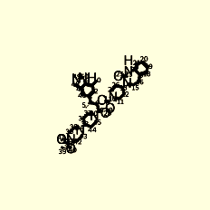 Cc1cc([C@@H](C)C(OC(=O)N2CCC(N3CCc4ccccc4NC3=O)CC2)C(=O)N2CCC(N3CCN(S(C)(=O)=O)CC3)CC2)cc2cn[nH]c12